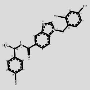 C[C@@H](NC(=O)c1ccc2c(c1)ncn2Cc1ccc(F)cc1F)c1ccc(Br)cc1